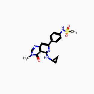 Cn1cnc2cc(-c3ccc(NS(C)(=O)=O)cc3)nc(NC3CC3)c2c1=O